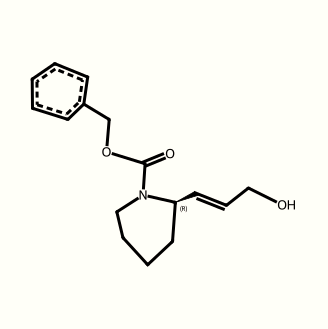 O=C(OCc1ccccc1)N1CCCC[C@@H]1C=CCO